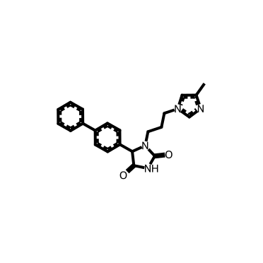 Cc1cn(CCCN2C(=O)NC(=O)C2c2ccc(-c3ccccc3)cc2)cn1